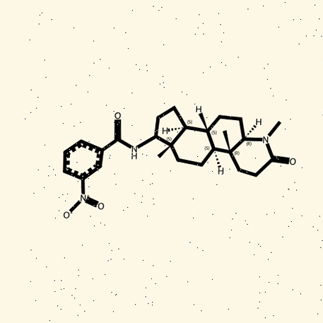 CN1C(=O)CC[C@]2(C)[C@H]3CC[C@]4(C)C(NC(=O)c5cccc([N+](=O)[O-])c5)CC[C@H]4[C@@H]3CC[C@@H]12